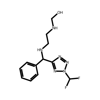 OCNCCNC(c1ccccc1)c1nnn(C(F)F)n1